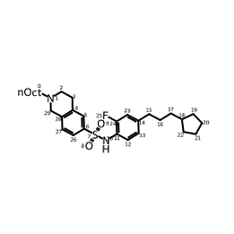 CCCCCCCCN1CCc2cc(S(=O)(=O)Nc3ccc(CCCC4CCCC4)cc3F)ccc2C1